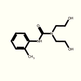 Cc1ccccc1NC(=O)N(CCO)CCO